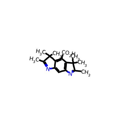 CC1=Nc2cc3c(c(C(=O)O)c2C1(C)C)C(C)(C)C(C)=N3